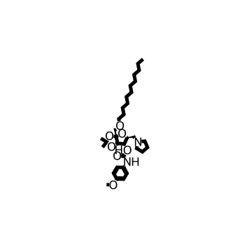 CCCCCCCCCCCCOC[C@@]12O[C@@H](CN3CCCC3)[C@@H](OC(=O)Nc3ccc(OC)cc3)[C@@H]1OC(C)(C)O2